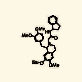 CCC(C)Oc1cc2c(cc1OC)CCN(CC(=O)NC1CCc3ccccc31)C2Cc1ccc(OC)c(OC)c1